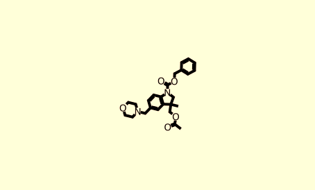 CC(=O)OCC1(C)CN(C(=O)OCc2ccccc2)c2ccc(CN3CCOCC3)cc21